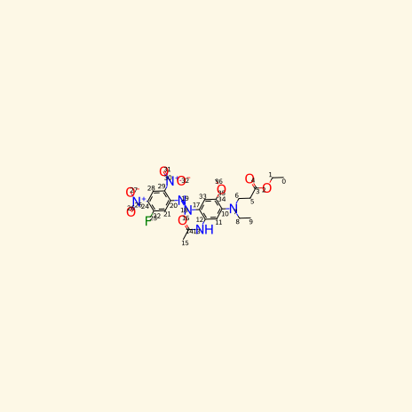 CCOC(=O)CCN(CC)c1cc(NC(C)=O)c(/N=N/c2cc(F)c([N+](=O)[O-])cc2[N+](=O)[O-])cc1OC